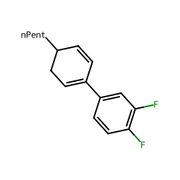 CCCCCC1C=CC(c2ccc(F)c(F)c2)=CC1